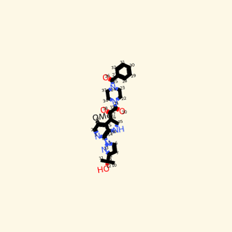 COc1cnc(-n2ccc(C(C)(C)O)n2)c2c1C(C(=O)C(=O)N1CCN(C(=O)c3ccccc3)CC1)CN2